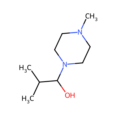 CC(C)C(O)N1CCN(C)CC1